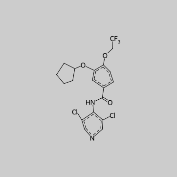 O=C(Nc1c(Cl)cncc1Cl)c1ccc(OCC(F)(F)F)c(OC2CCCC2)c1